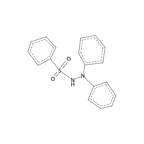 O=S(=O)(NN(c1ccccc1)c1ccccc1)c1ccccc1